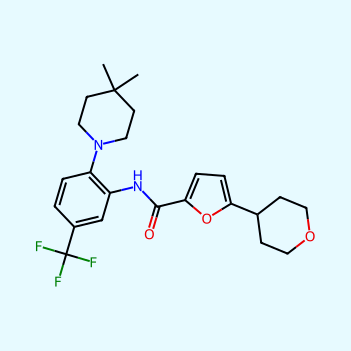 CC1(C)CCN(c2ccc(C(F)(F)F)cc2NC(=O)c2ccc(C3CCOCC3)o2)CC1